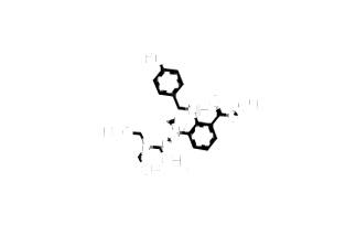 CCN(CC)CC.COC(=O)c1cccc([N+](=O)[O-])c1NCc1ccc(Br)cc1